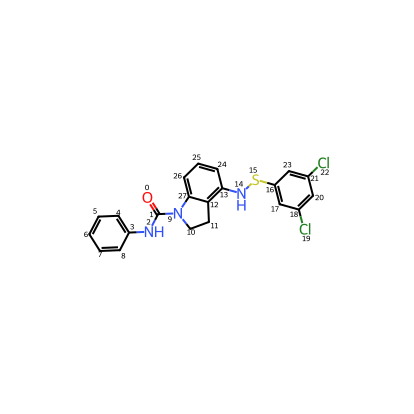 O=C(Nc1ccccc1)N1CCc2c(NSc3cc(Cl)cc(Cl)c3)cccc21